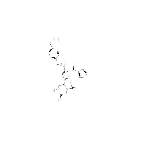 Cc1occc1C(=O)n1nc(C2CNC(=O)CC2C(F)(F)F)c(F)c1N(C)Cc1ccc(CN)cc1